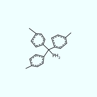 Cc1ccc(C(P)(c2ccc(C)cc2)c2ccc(C)cc2)cc1